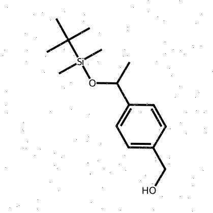 CC(O[Si](C)(C)C(C)(C)C)c1ccc(CO)cc1